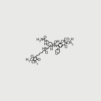 C[C@@H](C(=O)O)N(C)C(=O)c1ccc(NC(=O)C(CCCNC(N)=O)NC(=O)CNC(=O)CCCCCN2C(=O)CC(C)(C)C2=O)c(N2CCOCC2)c1